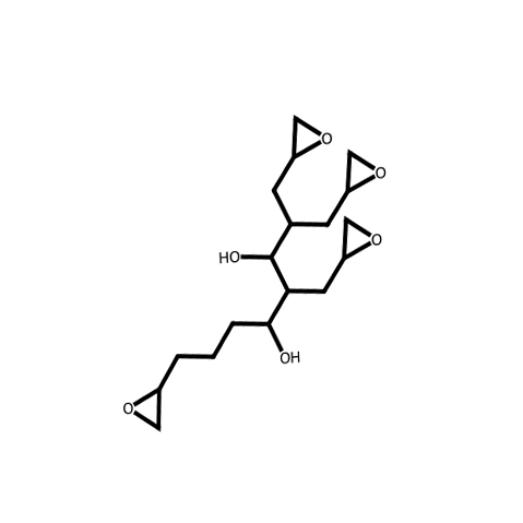 OC(CCCC1CO1)C(CC1CO1)C(O)C(CC1CO1)CC1CO1